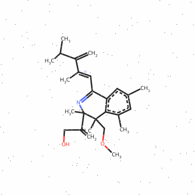 C=C(/C(C)=C/C1=NC(C)(C(=C)CO)C(C)(COC)c2c(C)cc(C)cc21)C(C)C